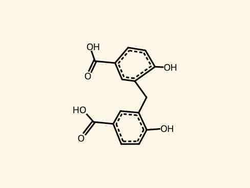 O=C(O)c1ccc(O)c(Cc2cc(C(=O)O)ccc2O)c1